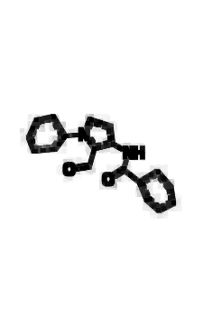 O=Cc1c(NC(=O)c2ccccc2)ccn1-c1ccccc1